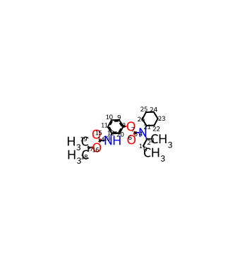 CCC(C)N(C(=O)Oc1cccc(NC(=O)OC(C)C)c1)C1CCCCC1